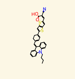 CCCCN1c2ccccc2C(=CC2=CC=C(c3cc4sc(/C=C(/C#N)C(=O)O)cc4s3)CC2)c2ccccc21